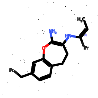 C/C=C(\NC1=C(N)Oc2cc(CC(C)C)ccc2CC1)C(C)C